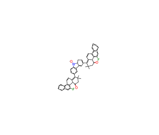 CC1(C)CC(=O)C2C(=C1C1=CCC3C(=C1)c1cc(C4=C5C=Cc6c(c(F)cc7ccccc67)C5C(=O)CC4(C)C)ccc1N3[O])C=Cc1c2c(F)cc2ccccc12